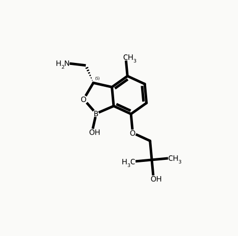 Cc1ccc(OCC(C)(C)O)c2c1[C@@H](CN)OB2O